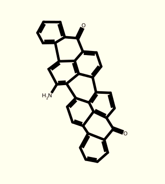 Nc1cc2c3c(ccc4c5ccc6c7c(ccc(c1c34)c75)-c1ccccc1C6=O)C(=O)c1ccccc1-2